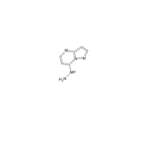 NNc1ccnc2ccnn12